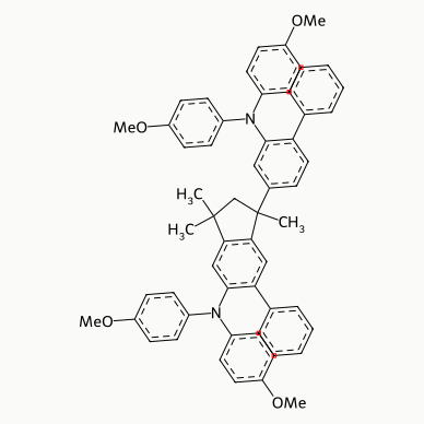 COc1ccc(N(c2ccc(OC)cc2)c2cc(C3(C)CC(C)(C)c4cc(N(c5ccc(OC)cc5)c5ccc(OC)cc5)c(-c5ccccc5)cc43)ccc2-c2ccccc2)cc1